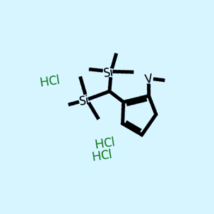 Cl.Cl.Cl.[CH3][V][C]1=C(C([Si](C)(C)C)[Si](C)(C)C)C=CC1